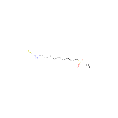 CS(=O)(=O)CCCCCCCCCN=C=S